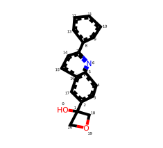 OC1(c2ccc3nc(-c4ccccc4)ccc3c2)COC1